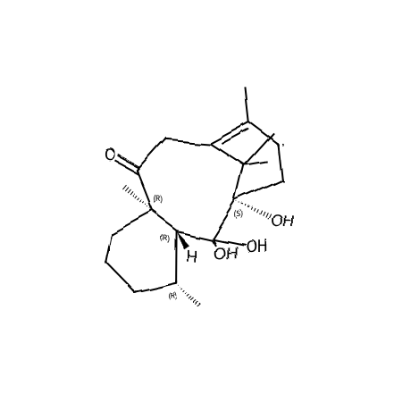 CC1=C2CC(=O)[C@]3(C)CCC[C@@H](C)[C@H]3C(O)(O)[C@](O)(C[CH]1)C2(C)C